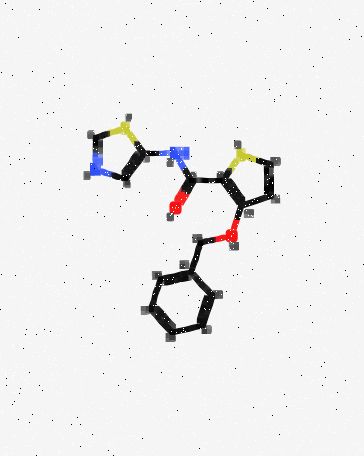 O=C(Nc1cncs1)c1sccc1OCc1ccccc1